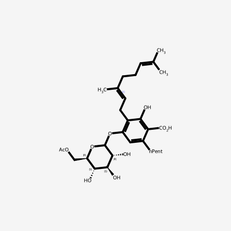 CCCCCc1cc(OC2O[C@H](COC(C)=O)[C@@H](O)[C@H](O)[C@H]2O)c(C/C=C(\C)CCC=C(C)C)c(O)c1C(=O)O